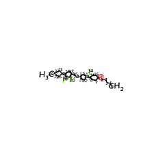 C=CCCCOc1ccc(-c2ccc(CCc3ccc(C4CCC(C)CC4)c(F)c3F)cc2)c(F)c1